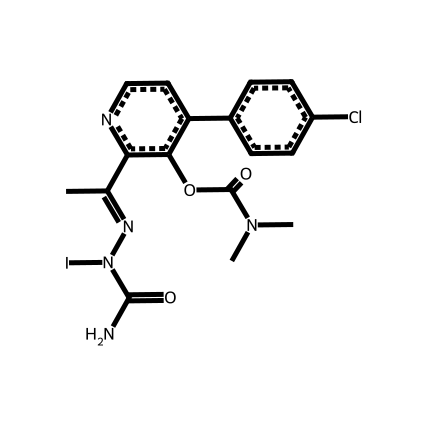 CC(=NN(I)C(N)=O)c1nccc(-c2ccc(Cl)cc2)c1OC(=O)N(C)C